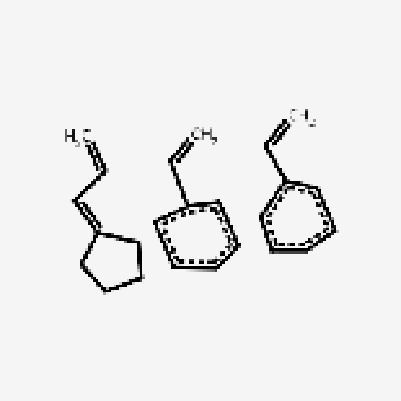 C=CC=C1CCCC1.C=Cc1ccccc1.C=Cc1ccccc1